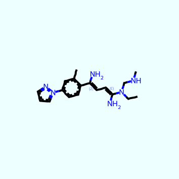 CCN(CNC)/C(N)=C/C=C(\N)c1ccc(-n2cccn2)cc1C